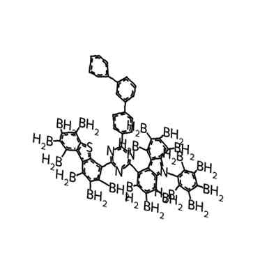 Bc1c(B)c(B)c(-n2c3c(B)c(B)c(B)c(B)c3c3c(-c4nc(-c5ccc(-c6cccc(-c7ccccc7)c6)cc5)nc(-c5c(B)c(B)c(B)c6c5sc5c(B)c(B)c(B)c(B)c56)n4)c(B)c(B)c(B)c32)c(B)c1B